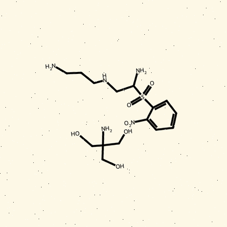 NC(CO)(CO)CO.NCCCNCC(N)S(=O)(=O)c1ccccc1[N+](=O)[O-]